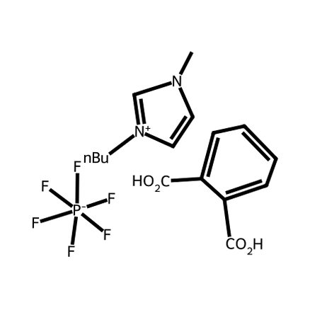 CCCC[n+]1ccn(C)c1.F[P-](F)(F)(F)(F)F.O=C(O)c1ccccc1C(=O)O